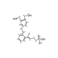 CCC(O)(CC)CC/C=C(\C)c1ccccc1SCc1ccc(CO)c(CO)c1